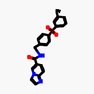 CC(C)c1cccc(S(=O)(=O)c2ccc(CNC(=O)c3ccc4nccn4c3)cc2)c1